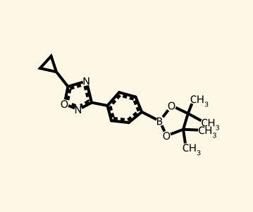 CC1(C)OB(c2ccc(-c3noc(C4CC4)n3)cc2)OC1(C)C